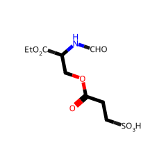 CCOC(=O)C(COC(=O)CCS(=O)(=O)O)NC=O